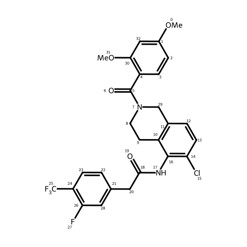 COc1ccc(C(=O)N2CCc3c(ccc(Cl)c3NC(=O)Cc3ccc(C(F)(F)F)c(F)c3)C2)c(OC)c1